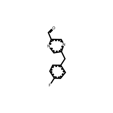 O=Cc1cnc(Cc2ccc(F)cc2)cn1